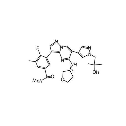 CNC(=O)c1cc(C)c(F)c(-c2cnn3cc(-c4cnn(CC(C)(C)O)c4)c(N[C@H]4CCOC4)nc23)c1